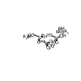 O.O.O=[Si](O)O.O=[Si](O)O.O=[Si](O)O.[AlH3].[AlH3].[MgH2]